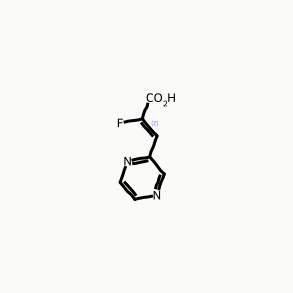 O=C(O)/C(F)=C/c1cnccn1